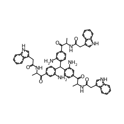 CC(NC(=O)Cc1c[nH]c2ccccc12)C(=O)c1ccc(C(c2ccc(C(=O)C(C)NC(=O)Cc3c[nH]c4ccccc34)cc2N)c2ccc(C(=O)C(C)NC(=O)Cc3c[nH]c4ccccc34)cc2N)c(N)c1